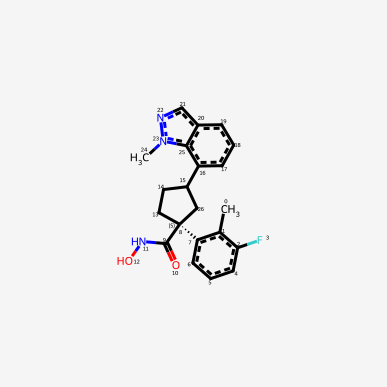 Cc1c(F)cccc1[C@]1(C(=O)NO)CCC(c2cccc3cnn(C)c23)C1